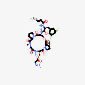 CCCC/C=C/C(=O)N[C@@H](Cc1cc(F)cc(F)c1)C(=O)N[C@H]1COC(=O)[C@@H]2CCCN2C(=O)[C@H](COC(=O)CN)NC(=O)[C@H](C)N(C)C(=O)[C@@H]2CCCN2C1=O